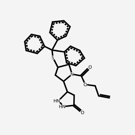 C=CCOC(=O)N1CC(SC(c2ccccc2)(c2ccccc2)c2ccccc2)CC1C1CC(=O)NN1